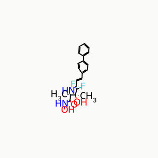 C[C@@](NC/C=C/c1ccc(-c2ccccc2)cc1)(C(=O)NO)[C@](C)(O)C(F)F